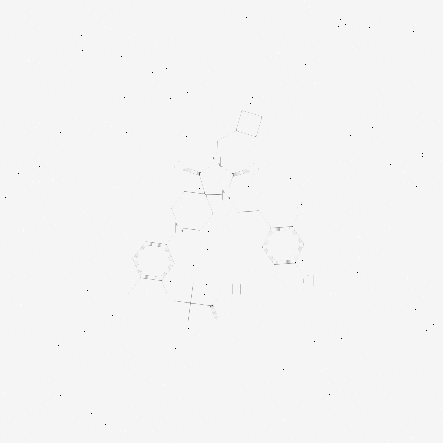 Cc1ccc(N2CCC3(CC2)C(=O)N(CC2CCC2)C(=O)N3CCc2ccc(Cl)cc2Cl)cc1OC(C)(C)C(=O)O